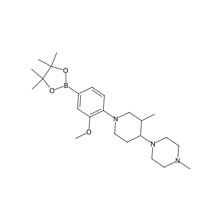 COc1cc(B2OC(C)(C)C(C)(C)O2)ccc1N1CCC(N2CCN(C)CC2)C(C)C1